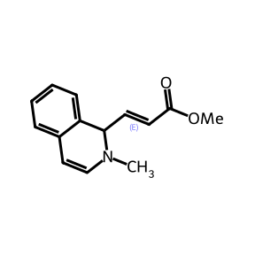 COC(=O)/C=C/C1c2ccccc2C=CN1C